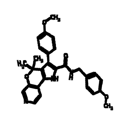 COc1ccc(CNC(=O)c2[nH]c3c(c2-c2ccc(OC)cc2)C(C)(C)Oc2cnccc2-3)cc1